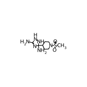 CS(=O)(=O)N1CCC(C2(N)N=C(N)NN2)CC1